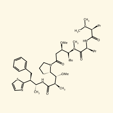 CC[C@H](C)[C@@H]([C@@H](CC(=O)N1CCC[C@H]1[C@H](OC)[C@@H](C)C(=O)N[C@H](C)[C@H](Cc1ccccc1)c1nccs1)OC)N(C)C(=O)[C@@H](NC(=O)[C@H](C(C)C)N(C)C)C(C)C